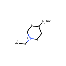 CC(=O)CN1CCC(NC(C)=O)CC1